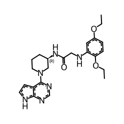 CCOc1ccc(OCC)c(NCC(=O)N[C@@H]2CCCN(c3ncnc4[nH]ccc34)C2)c1